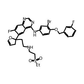 CCS(=O)(=O)CCNCCC1(c2cc3c(Nc4ccc(OCc5cccc(F)c5)c(Br)c4)ncnc3cc2F)CC=CO1